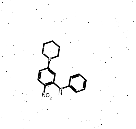 O=[N+]([O-])c1ccc(N2CCCCC2)cc1Nc1ccccc1